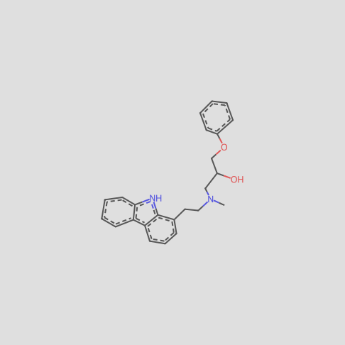 CN(CCc1cccc2c1[nH]c1ccccc12)CC(O)COc1ccccc1